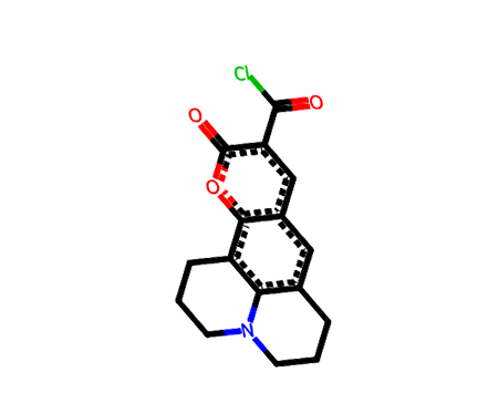 O=C(Cl)c1cc2cc3c4c(c2oc1=O)CCCN4CCC3